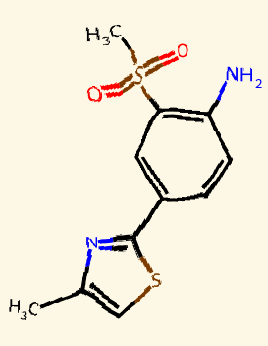 Cc1csc(-c2ccc(N)c(S(C)(=O)=O)c2)n1